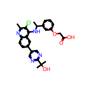 Cc1nc2ccc(-c3cnc(C(C)(C)O)nc3)cc2c(NC(C)c2cccc(OCC(=O)O)c2)c1Cl